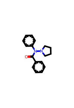 O=C(c1[c]cccc1)N(c1ccccc1)N1CCCC1